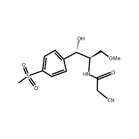 COC[C@@H](NC(=O)CC#N)[C@@H](O)c1ccc(S(C)(=O)=O)cc1